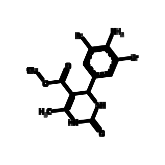 CC1=C(C(=O)OC(C)(C)C)C(c2cc(Br)c(N)c(Br)c2)NC(=O)N1